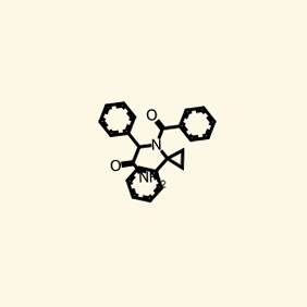 NC(=O)C(c1ccccc1)N(C(=O)c1ccccc1)C1(c2ccccc2)CC1